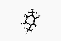 FC1C(F)C(C(F)(F)I)C(F)C(F)C1C(F)(F)I